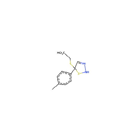 Cc1ccc(C2(SCC(=O)O)C=NNS2)cc1